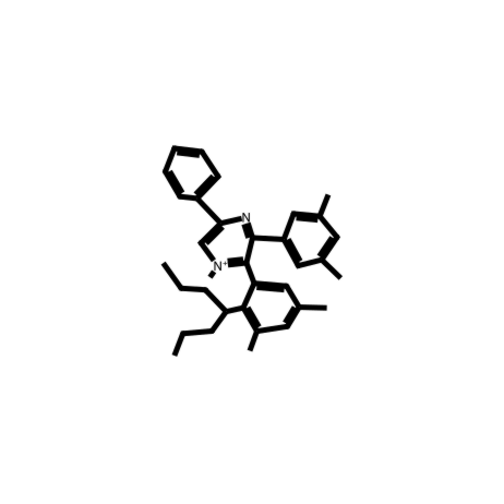 CCCC(CCC)c1c(C)cc(C)cc1-c1c(-c2cc(C)cc(C)c2)nc(-c2ccccc2)c[n+]1C